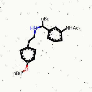 CCCCOc1ccc(CCNC(CCCC)c2cccc(NC(C)=O)c2)cc1